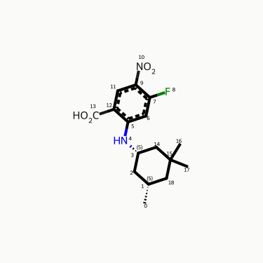 C[C@@H]1C[C@H](Nc2cc(F)c([N+](=O)[O-])cc2C(=O)O)CC(C)(C)C1